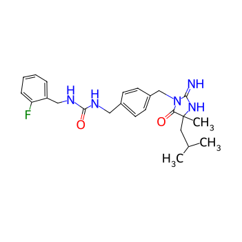 CC(C)CC1(C)NC(=N)N(Cc2ccc(CNC(=O)NCc3ccccc3F)cc2)C1=O